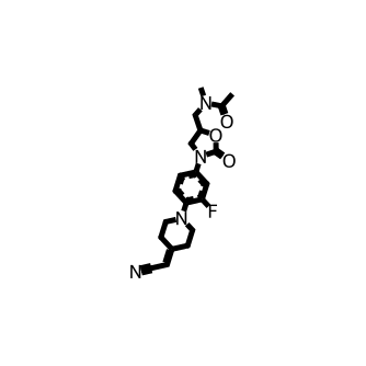 CC(=O)N(C)CC1CN(c2ccc(N3CCC(=CC#N)CC3)c(F)c2)C(=O)O1